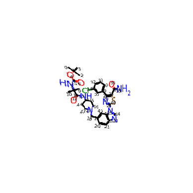 CC(C)(C)OC(=O)NC(C)(C)C(=O)NC1CCN(Cc2ccc3ncn(-c4nc(-c5cccc(Cl)c5)c(C(N)=O)s4)c3c2)CC1